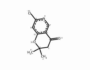 CC1(C)CC(=O)c2cnc(Cl)cc2O1